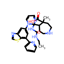 CCNC(=O)NC1(C2CCNCCC2(C)C(=O)O)N=CC=CN1c1cc(-c2ccccn2)c2scnc2c1